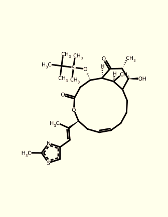 C/C(=C\c1csc(C)n1)[C@@H]1C/C=C\CCCC2[C@H](C)[C@H](C(=O)[C@H](C)[C@H]2O)[C@@H](O[Si](C)(C)C(C)(C)C)CC(=O)O1